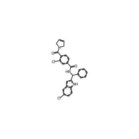 O=C(NC(c1ccccc1)c1cc2cc(Cl)ccc2[nH]1)c1ccc(C(=O)N2CC=CC2)c(Cl)c1